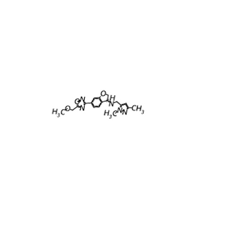 COCc1nc(-c2ccc3c(c2)OC[C@H]3NCc2cc(C)nn2C)no1